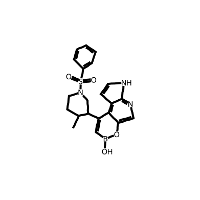 CC1CCN(S(=O)(=O)c2ccccc2)CC1C1=CB(O)Oc2cnc3[nH]ccc3c21